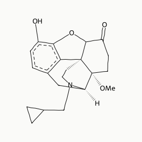 CO[C@@]12CCC(=O)C3Oc4c(O)ccc5c4[C@@]31CCN(CC1CC1)[C@@H]2C5